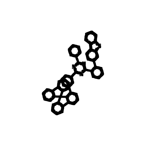 c1ccc(-c2nc(-c3cccc(-c4cccc5c4C4(c6ccccc6-c6ccccc64)c4ccccc4-5)c3)nc(-c3ccccc3-c3ccc4c(c3)sc3ccccc34)n2)cc1